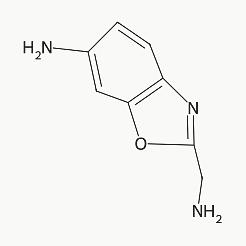 NCc1nc2ccc(N)cc2o1